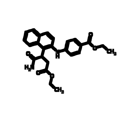 CCOC(=O)CC(C(N)=O)c1c(Nc2ccc(C(=O)OCC)cc2)ccc2ccccc12